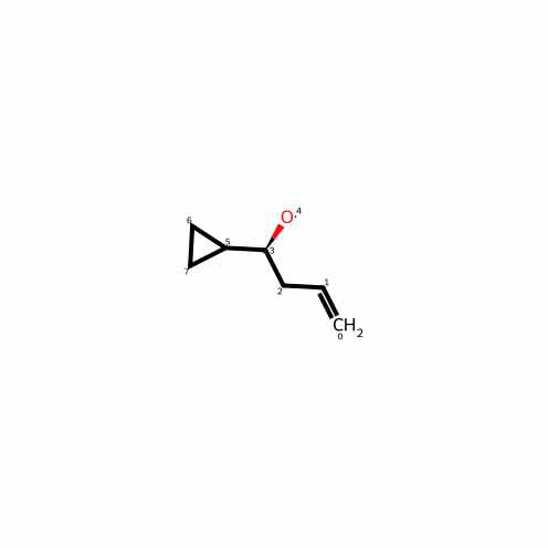 C=CC[C@H]([O])C1CC1